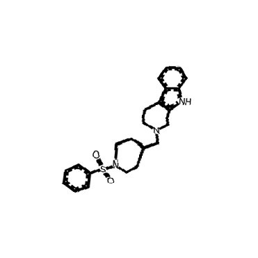 O=S(=O)(c1ccccc1)N1CCC(CN2CCc3c([nH]c4ccccc34)C2)CC1